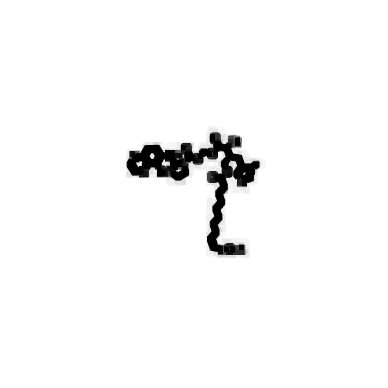 CCCCCCCC/C=C\CCCCCCCC(=O)OC[C@H](Cc1cncn1C)[C@H](CC)C(=O)OCOC(=O)N1CCN=C1Nc1ccc2nccnc2c1Br